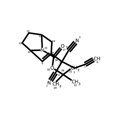 C#CCC(C#N)(C#N)C1=CC2CCC(C1)N2C(=O)OC(C)(C)C